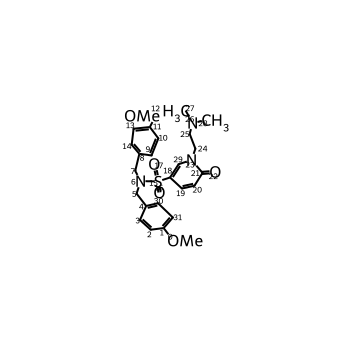 COc1ccc(CN(Cc2ccc(OC)cc2)S(=O)(=O)c2ccc(=O)n(CCN(C)C)c2)cc1